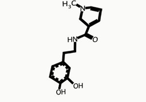 CN1C=CC=C(C(=O)NCCc2ccc(O)c(O)c2)C1